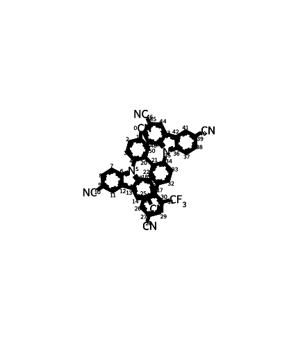 N#Cc1ccc(-n2c3ccc(C#N)cc3c3cc(C#N)ccc32)c(-c2cc(-c3ccc(C#N)cc3C(F)(F)F)ccc2-n2c3ccc(C#N)cc3c3cc(C#N)ccc32)c1